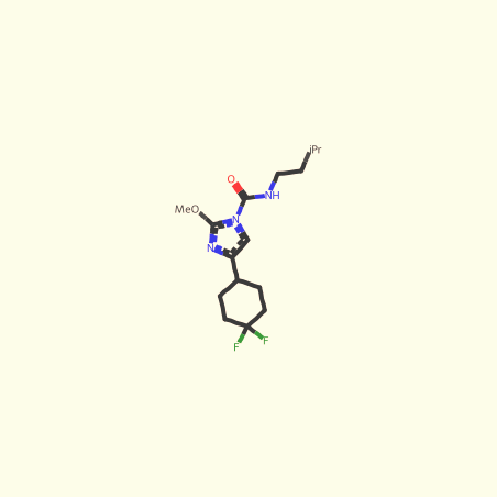 COc1nc(C2CCC(F)(F)CC2)cn1C(=O)NCCC(C)C